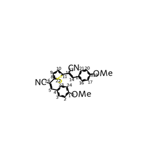 COc1ccc(C=C(C#N)c2ccc(C(C#N)=Cc3ccc(OC)cc3)s2)cc1